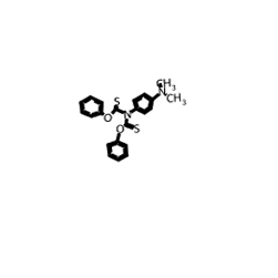 CN(C)c1ccc(N(C(=S)Oc2ccccc2)C(=S)Oc2ccccc2)cc1